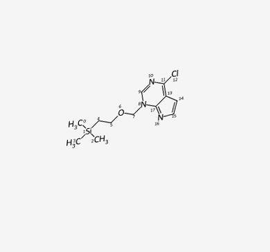 C[Si](C)(C)CCOCn1cnc(Cl)c2ccnc1-2